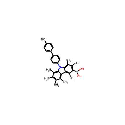 Bc1c(B)c(B)c2c(c1B)c1c(B)c(B(O)O)c(B)c(B)c1n2-c1ccc(-c2ccc(C#N)cc2)cc1